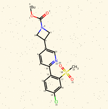 CC(C)(C)OC(=O)N1CC(c2ccc(-c3ccc(Cl)cc3S(C)(=O)=O)nc2)C1